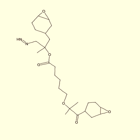 CC(CN=N)(CC1CCC2OC2C1)OC(=O)CCCCCOC(C)(C)C(=O)C1CCC2OC2C1